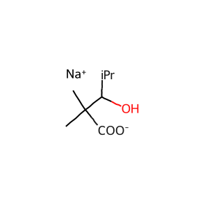 CC(C)C(O)C(C)(C)C(=O)[O-].[Na+]